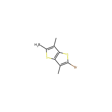 Bc1sc2c(C)c(Br)sc2c1C